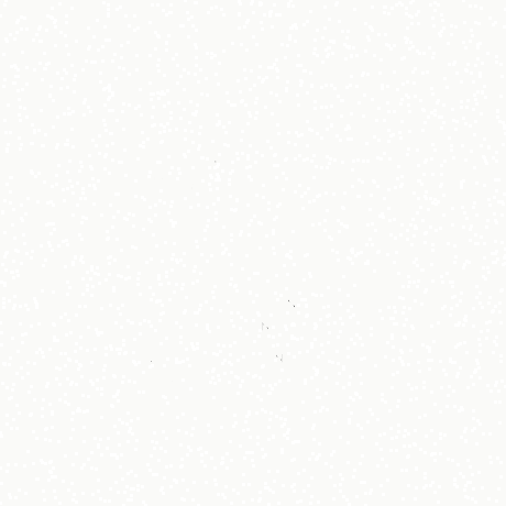 CCCC(C)(C)C(=O)CCc1cc(-n2nc3ccccc3n2)c(O)c(C(C)(C)C)c1